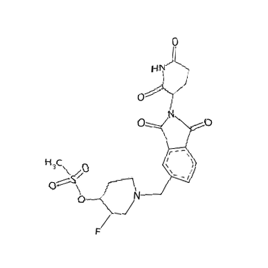 CS(=O)(=O)OC1CCN(Cc2ccc3c(c2)C(=O)N(C2CCC(=O)NC2=O)C3=O)CC1F